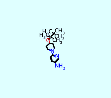 CC(C)(C)[Si](C)(C)OC1CCN(c2ccc(N)cn2)CC1